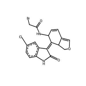 O=C(CBr)NC1C=CC2=COCC2C1=C1C(=O)Nc2ccc(Cl)cc21